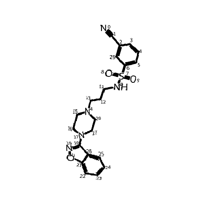 N#Cc1cccc(S(=O)(=O)NCCCN2CCN(c3noc4ccccc34)CC2)c1